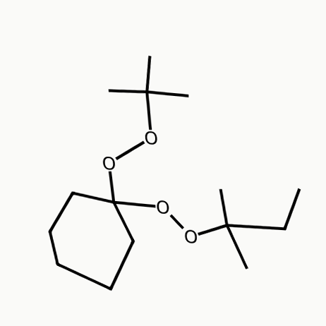 CCC(C)(C)OOC1(OOC(C)(C)C)CCCCC1